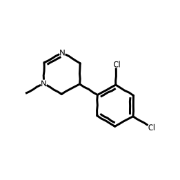 CN1C=NCC(c2ccc(Cl)cc2Cl)C1